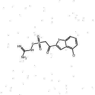 N=C(N)NOS(=O)(=O)CC(=O)c1cc2c(Cl)cccc2s1